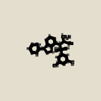 CC(C)(C)C(C(=O)O)N(c1cccc2c1CCN2c1ncccn1)S(=O)(=O)c1cc(Cl)cc(Cl)c1